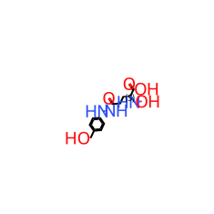 O=C(CC[C@H](NO)C(=O)O)NNc1ccc(CO)cc1